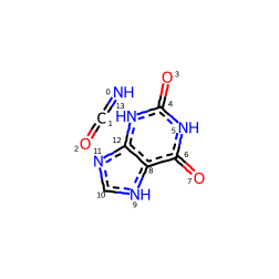 N=C=O.O=c1[nH]c(=O)c2[nH]cnc2[nH]1